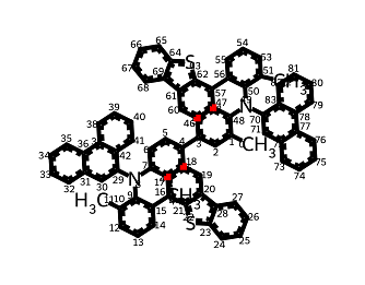 Cc1cc(-c2ccc(N(c3c(C)cccc3-c3cccc4c3sc3ccccc34)c3cc4ccccc4c4ccccc34)c(C)c2)ccc1N(c1c(C)cccc1-c1cccc2c1sc1ccccc12)c1cc2ccccc2c2ccccc12